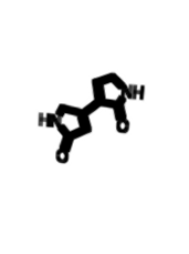 O=C1C=C(C2=CCNC2=O)CN1